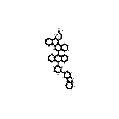 C=C/C=C\c1c(C)c2ccccc2c2cc(-c3c4c(c(-c5cccc(-c6ccc7oc8ccccc8c7c6)c5)c5ccccc35)C=CCC4)c3ccccc3c12